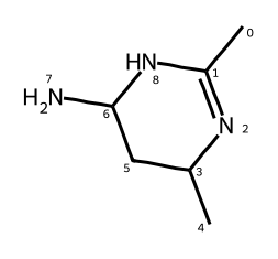 CC1=NC(C)CC(N)N1